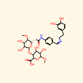 COC1OC(C(=O)O)C(OC2O[C@@H](CC(=O)Nc3ccc(/C=N\CCc4ccc(O)c(O)c4)cc3)C(OC)C(O)C2O)C(O)C1O